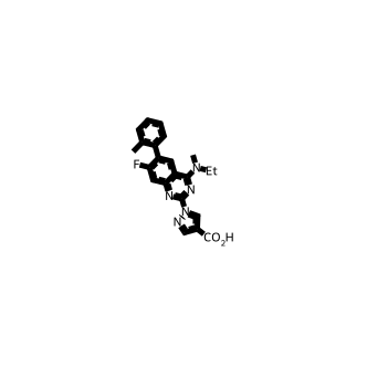 CCN(C)c1nc(-n2cc(C(=O)O)cn2)nc2cc(F)c(-c3ccccc3C)cc12